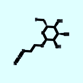 [N-]=[N+]=NCCO[C@H]1O[C@H](CF)[C@@H](O)[C@H](O)[C@H]1O